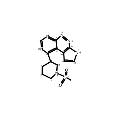 CS(=O)(=O)N1CCCC(c2ncnc3nnc4[nH]ccc4c23)C1